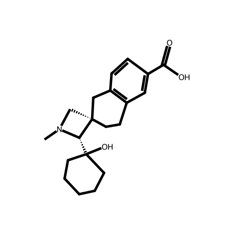 CN1C[C@]2(CCc3cc(C(=O)O)ccc3C2)[C@@H]1C1(O)CCCCC1